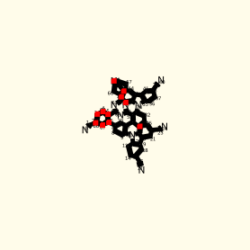 N#Cc1cccc(-c2ccc(-n3c4ccc(C#N)cc4c4cc(C#N)ccc43)c(-c3cccc(-n4c5ccc(C#N)cc5c5cc(C#N)ccc54)c3-c3nc(-c4ccccc4)nc(-c4ccccc4)n3)c2)c1